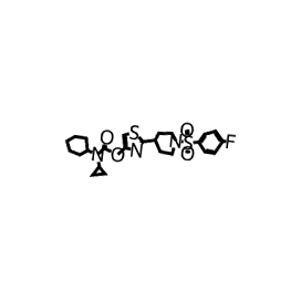 O=C(Oc1csc(C2CCN(S(=O)(=O)c3ccc(F)cc3)CC2)n1)N(C1CCCCC1)C1CC1